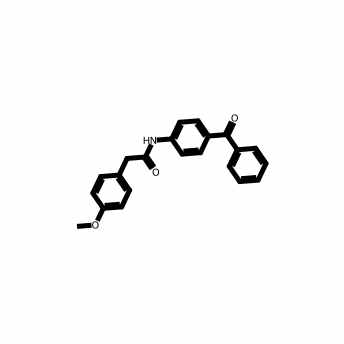 COc1ccc(CC(=O)Nc2ccc(C(=O)c3ccccc3)cc2)cc1